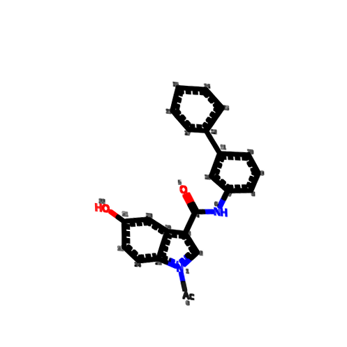 CC(=O)n1cc(C(=O)Nc2cccc(-c3ccccc3)c2)c2cc(O)ccc21